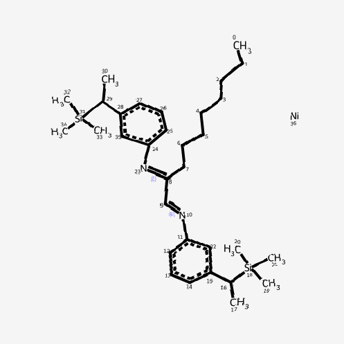 CCCCCCCCC(/C=N/c1cccc(C(C)[Si](C)(C)C)c1)=N\c1cccc(C(C)[Si](C)(C)C)c1.[Ni]